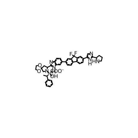 CC(c1ccccc1)[N+](O)(C(=O)[O-])N1CC2(CC1c1nc3ccc(-c4ccc5c(c4)C(F)(F)c4cc(-c6cnc(C7CCCN7)[nH]6)ccc4-5)cc3[nH]1)OCCO2